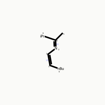 CCCC/C=C\N=C(\C)C(C)C